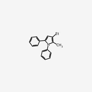 CCc1cc(-c2ccccc2)n(-c2ccccc2)c1C